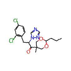 CCCC1OCC(C)(C(=O)C(Cc2ccc(Cl)cc2Cl)n2cncn2)CO1